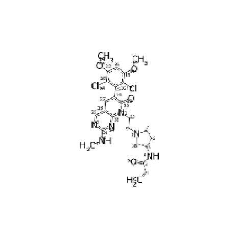 C=CC(=O)NC1CCN(CCn2c(=O)c(-c3c(Cl)c(OC)cc(OC)c3Cl)cc3cnc(NC)nc32)C1